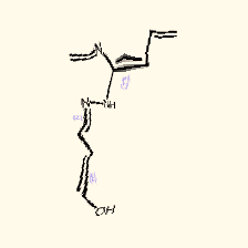 C=C/C=C(\N=C)N/N=C\C=C\O